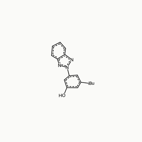 CCC(C)c1cc(O)cc(-n2nc3ccccc3n2)c1